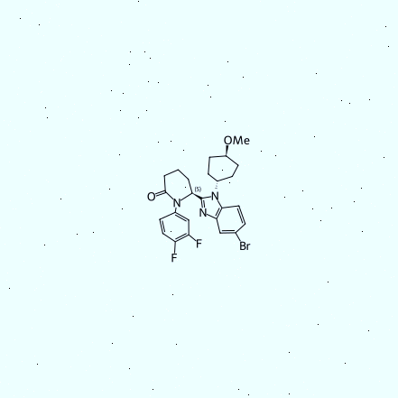 CO[C@H]1CC[C@H](n2c([C@@H]3CCCC(=O)N3c3ccc(F)c(F)c3)nc3cc(Br)ccc32)CC1